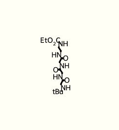 CCOC(=O)NCCNC(=O)CNC(=O)CNC(=O)CNC(C)(C)C